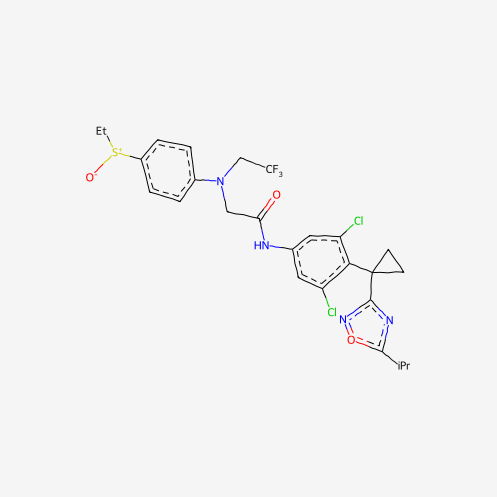 CC[S+]([O-])c1ccc(N(CC(=O)Nc2cc(Cl)c(C3(c4noc(C(C)C)n4)CC3)c(Cl)c2)CC(F)(F)F)cc1